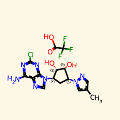 Cc1cnn([C@H]2C[C@@H](n3cnc4c(N)nc(Cl)nc43)[C@H](O)[C@@H]2O)c1.O=C(O)C(F)(F)F